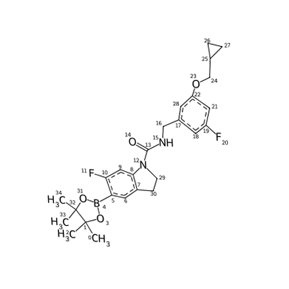 CC1(C)OB(c2cc3c(cc2F)N(C(=O)NCc2cc(F)cc(OCC4CC4)c2)CC3)OC1(C)C